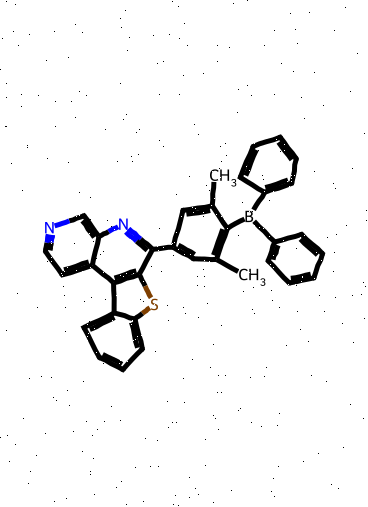 Cc1cc(-c2nc3cnccc3c3c2sc2ccccc23)cc(C)c1B(c1ccccc1)c1ccccc1